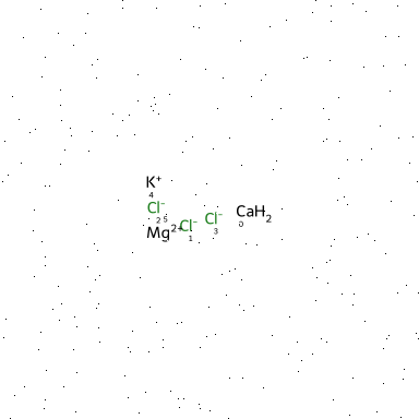 [CaH2].[Cl-].[Cl-].[Cl-].[K+].[Mg+2]